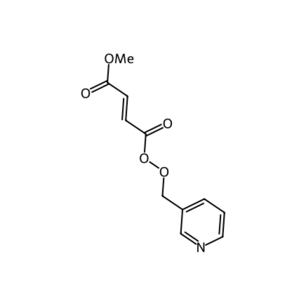 COC(=O)/C=C/C(=O)OOCc1cccnc1